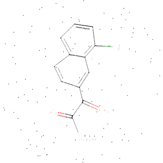 CSC(=O)C(=O)c1ccc2cccc(Cl)c2c1